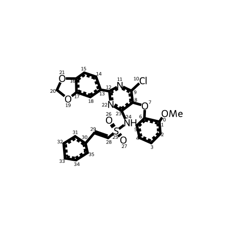 COc1ccccc1Oc1c(Cl)nc(-c2ccc3c(c2)OCO3)nc1NS(=O)(=O)C=Cc1ccccc1